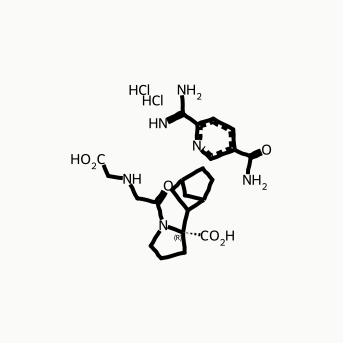 Cl.Cl.N=C(N)c1ccc(C(N)=O)cn1.O=C(O)CNCC(=O)N1CCC[C@]1(C(=O)O)C1CC2CCC1C2